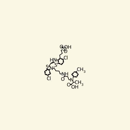 Cc1ccc(N(CCC(=O)NCCCC[n+]2c(/C=C3/Nc4c(ccc(Cl)c4CCCS(=O)(=O)O)S3)sc3ccc(Cl)cc32)C(C)C(=O)O)cc1